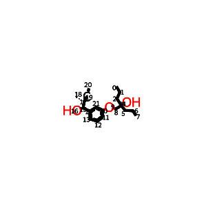 CCCC(O)(CCC)COc1cccc([C@H](O)[C@H](C)CC)c1